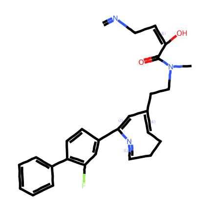 C=NC/C=C(/O)C(=O)N(C)CCC1=C\CC/C=N/C(c2ccc(-c3ccccc3)c(F)c2)=C\1